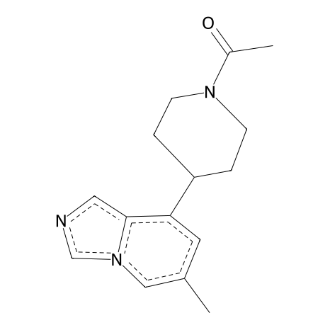 CC(=O)N1CCC(c2cc(C)cn3cncc23)CC1